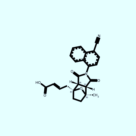 C[C@]12CC[C@](CC=CC(=O)O)(O1)[C@@H]1C(=O)N(c3ccc(C#N)c4ccccc34)C(=O)[C@@H]12